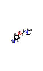 CCN(CC)CCOc1ccc([N])cc1